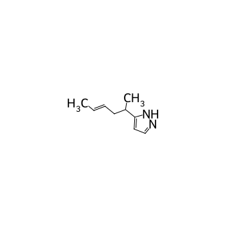 C/C=C/CC(C)c1ccn[nH]1